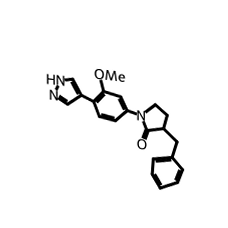 COc1cc(N2CCC(Cc3ccccc3)C2=O)ccc1-c1cn[nH]c1